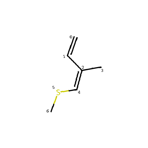 C=C/C(C)=C\SC